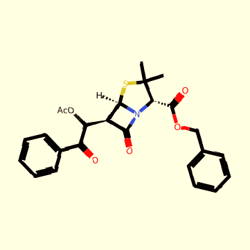 CC(=O)OC(C(=O)c1ccccc1)[C@@H]1C(=O)N2[C@@H]1SC(C)(C)[C@@H]2C(=O)OCc1ccccc1